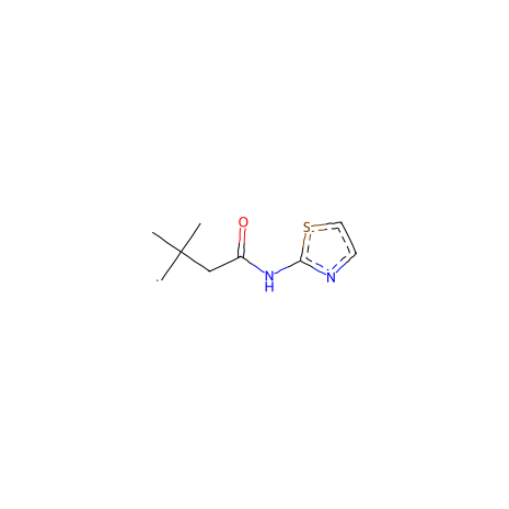 [CH2]C(C)(C)CC(=O)Nc1nccs1